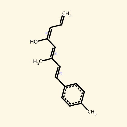 C=C\C=C(O)/C=C(C)/C=C/c1ccc(C)cc1